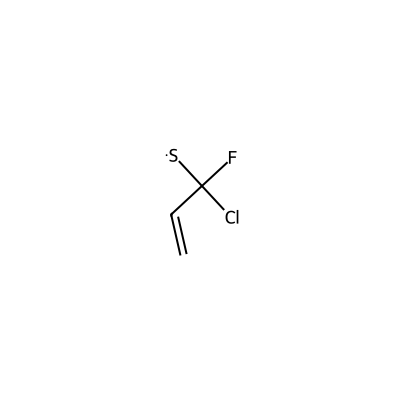 C=CC(F)([S])Cl